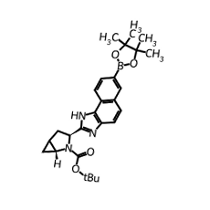 CC(C)(C)OC(=O)N1[C@@H]2CC2C[C@H]1c1nc2ccc3cc(B4OC(C)(C)C(C)(C)O4)ccc3c2[nH]1